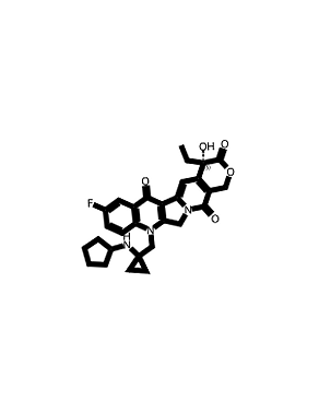 CC[C@@]1(O)C(=O)OCc2c1cc1n(c2=O)Cc2c-1c(=O)c1cc(F)ccc1n2CC1(NC2CCCC2)CC1